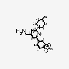 CC1CCN(c2nc(CN)cc(-c3ccc4c(c3)OCO4)n2)CC1